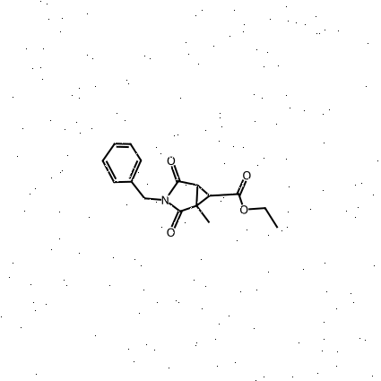 CCOC(=O)C1C2C(=O)N(Cc3ccccc3)C(=O)C12C